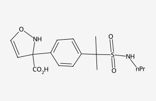 CCCNS(=O)(=O)C(C)(C)c1ccc(C2(C(=O)O)C=CON2)cc1